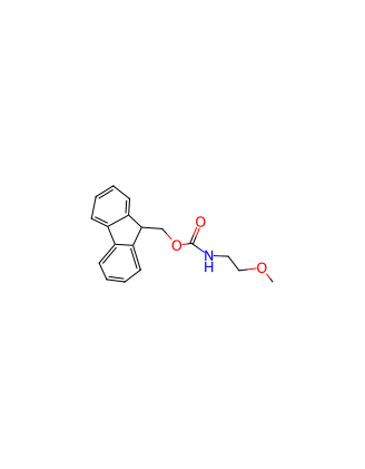 COCCNC(=O)OCC1c2ccccc2-c2ccccc21